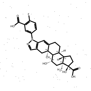 C[C@]12Cc3cnn(-c4ccc(F)c(C(=O)O)c4)c3C=C1CC[C@@H]1C2[C@@H](O)C[C@@]2(C)[C@H]1CC[C@]2(O)C(=O)O